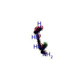 NC(=S)c1cccc(-c2cn(C3CCC(F)(F)CC3)c3cc(NC(=O)CCCCCCCCNC(=O)/C=C/c4cccc5c4CN(C4CCC(=O)NC4=O)C5=O)ccc23)c1